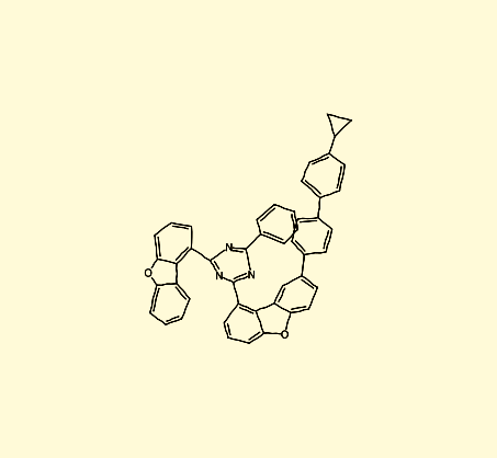 c1ccc(-c2nc(-c3cccc4oc5ccccc5c34)nc(-c3cccc4oc5ccc(-c6ccc(-c7ccc(C8CC8)cc7)cc6)cc5c34)n2)cc1